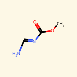 COC(=O)N=CN